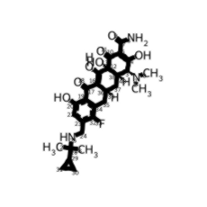 CN(C)[C@@H]1C(O)=C(C(N)=O)C(=O)[C@@]2(O)C(O)=C3C(=O)c4c(O)cc(CNC(C)(C)C5CC5)c(F)c4C[C@H]3C[C@@H]12